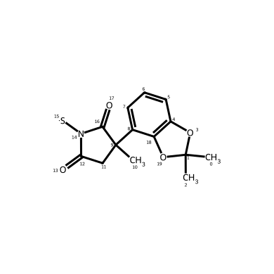 CC1(C)Oc2cccc(C3(C)CC(=O)N([S])C3=O)c2O1